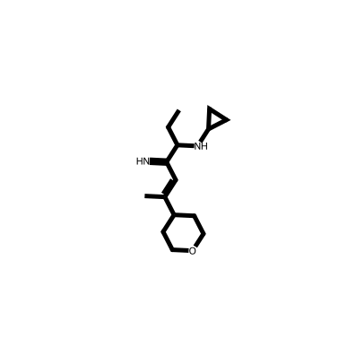 CCC(NC1CC1)C(=N)/C=C(\C)C1CCOCC1